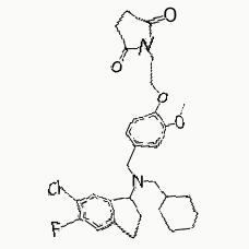 COc1cc(CN(CC2CCCCC2)C2CCc3cc(F)c(Cl)cc32)ccc1OCCN1C(=O)CCC1=O